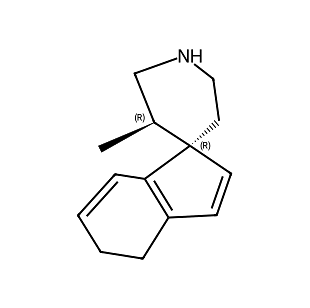 C[C@H]1CNCC[C@@]12C=CC1=C2C=CCC1